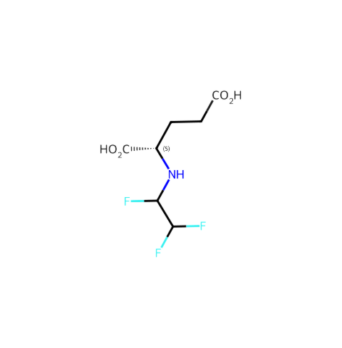 O=C(O)CC[C@H](NC(F)C(F)F)C(=O)O